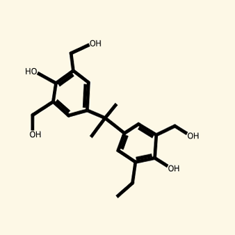 CCc1cc(C(C)(C)c2cc(CO)c(O)c(CO)c2)cc(CO)c1O